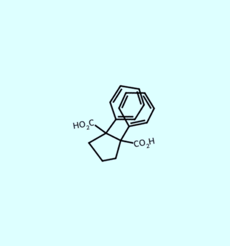 O=C(O)C1(c2ccccc2)CCCC1(C(=O)O)c1ccccc1